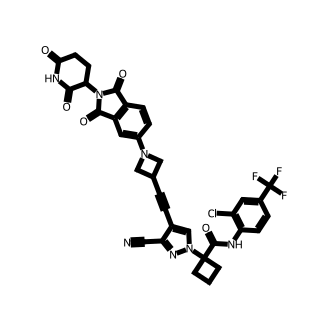 N#Cc1nn(C2(C(=O)Nc3ccc(C(F)(F)F)cc3Cl)CCC2)cc1C#CC1CN(c2ccc3c(c2)C(=O)N(C2CCC(=O)NC2=O)C3=O)C1